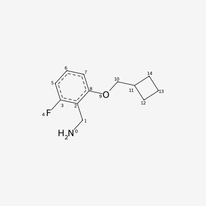 NCc1c(F)cccc1OCC1CCC1